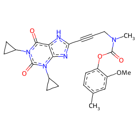 COc1cc(C)ccc1OC(=O)N(C)CC#Cc1nc2c([nH]1)c(=O)n(C1CC1)c(=O)n2C1CC1